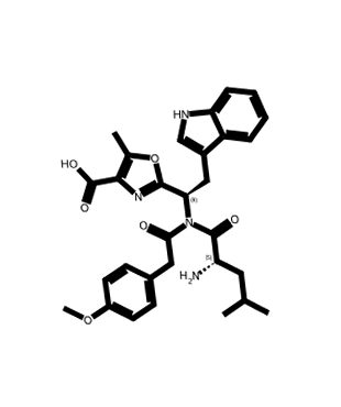 COc1ccc(CC(=O)N(C(=O)[C@@H](N)CC(C)C)[C@H](Cc2c[nH]c3ccccc23)c2nc(C(=O)O)c(C)o2)cc1